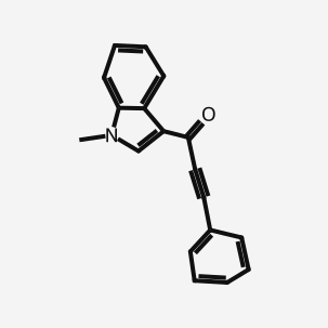 Cn1cc(C(=O)C#Cc2ccccc2)c2ccccc21